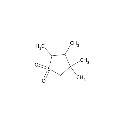 CC1C(C)S(=O)(=O)CC1(C)C